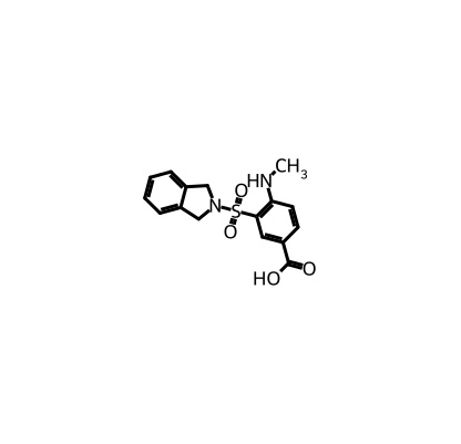 CNc1ccc(C(=O)O)cc1S(=O)(=O)N1Cc2ccccc2C1